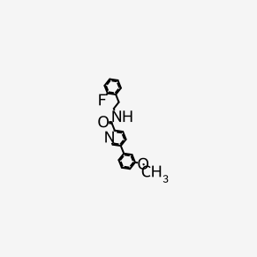 COc1cccc(-c2ccc(C(=O)NCCc3ccccc3F)nc2)c1